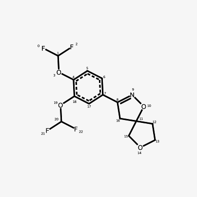 FC(F)Oc1ccc(C2=NOC3(CCOC3)C2)cc1OC(F)F